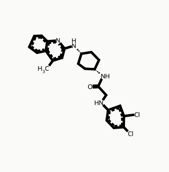 Cc1cc(N[C@H]2CC[C@@H](NC(=O)CNc3ccc(Cl)c(Cl)c3)CC2)nc2ccccc12